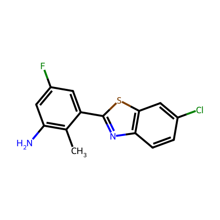 Cc1c(N)cc(F)cc1-c1nc2ccc(Cl)cc2s1